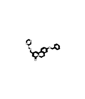 O=c1cc(COC[C@H]2COCCO2)cc2n1CCc1cc(OCc3ccccc3)ccc1-2